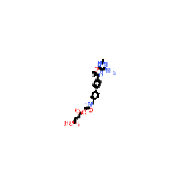 Cc1nc(N)c2c(n1)OC(C)(C)C(c1ccc([C@H]3CC[C@H](CNC(=O)COC(=O)CCC(=O)O)CC3)cc1)=N2